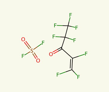 O=C(C(F)=C(F)F)C(F)(F)C(F)(F)F.O=S(=O)(F)F